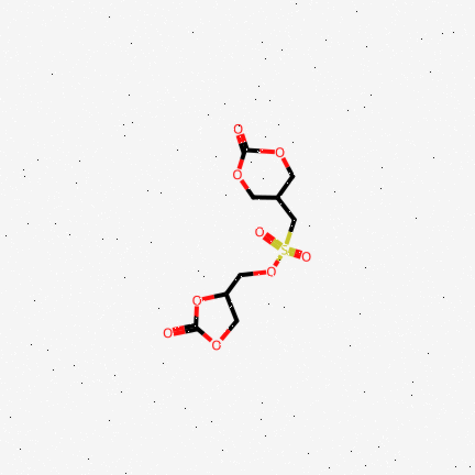 O=C1OCC(CS(=O)(=O)OCC2COC(=O)O2)CO1